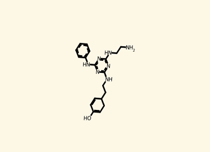 NCCNc1nc(NCCC2C=CC(O)=CC2)nc(Nc2ccccc2)n1